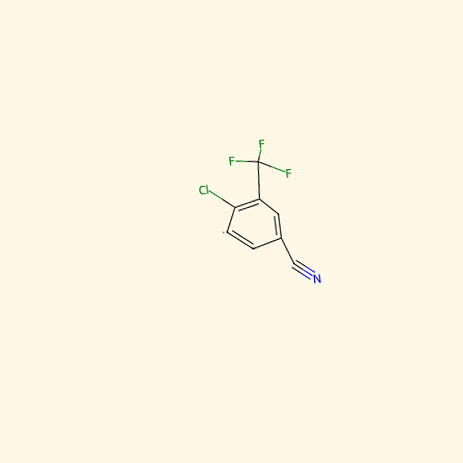 N#Cc1c[c]c(Cl)c(C(F)(F)F)c1